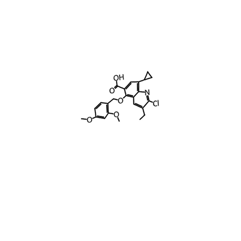 CCc1cc2c(OCc3ccc(OC)cc3OC)c(C(=O)O)cc(C3CC3)c2nc1Cl